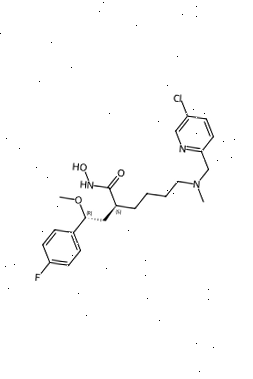 CO[C@H](C[C@H](CCCCN(C)Cc1ccc(Cl)cn1)C(=O)NO)c1ccc(F)cc1